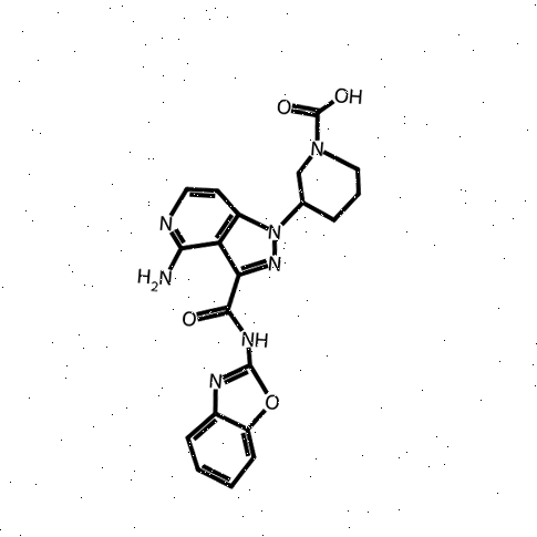 Nc1nccc2c1c(C(=O)Nc1nc3ccccc3o1)nn2C1CCCN(C(=O)O)C1